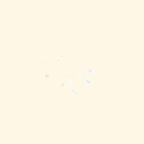 CCC(O)P(=O)(O)OC(C)(F)CCO[C@H]([C@H](O)CO)n1cnc2c(Cl)nc(N)nc21